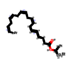 CCC/C=C\C/C=C\C/C=C\C/C=C\C/C=C/CCCC(=O)OC(C(=O)OCC)C(C)C